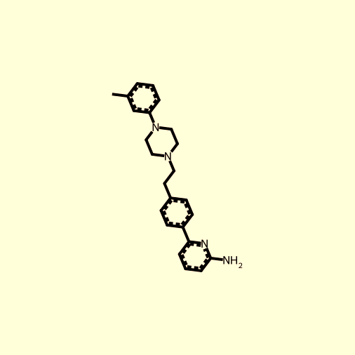 Cc1cccc(N2CCN(CCc3ccc(-c4cccc(N)n4)cc3)CC2)c1